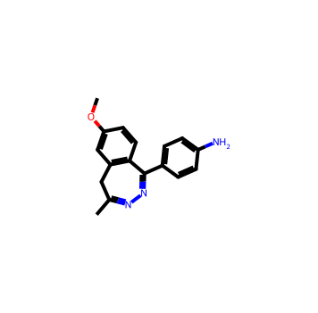 COc1ccc2c(c1)CC(C)=NN=C2c1ccc(N)cc1